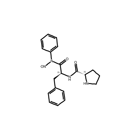 O=[N+]N(C(=O)[C@H](Cc1ccccc1)NC(=O)[C@@H]1CCCN1)c1ccccc1